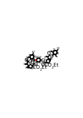 C=C(C(=O)Oc1c(C)cc(C)cc1C)C12CC1CC(C(=O)OCC)(C(=O)Oc1cccc(OC(=O)C3(C(=O)OCC)CC4CC4(C(=C)C(=O)Oc4c(C)cc(C)cc4C)C3)c1)C2